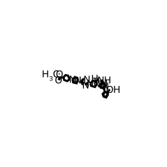 COC(=O)C1CCC(N2CCN(c3cnc(N4CCN5c6cc(-c7ccccc7O)nnc6NC[C@H]5C4)nc3)CC2)CC1